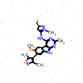 COc1cc2c(cc1-c1c(C)noc1C)[nH]c1nc(C)nc(Nc3cc(CF)nn3C)c12